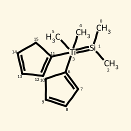 C[Si](C)=[Ti]([CH3])([CH3])([C]1=CC=CC1)[C]1=CC=CC1